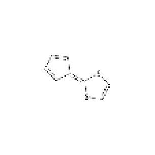 C1=CC(=C2SC=CS2)C=C1